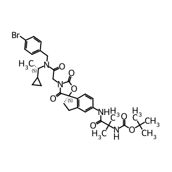 C[C@@H](C1CC1)N(Cc1ccc(Br)cc1)C(=O)CN1C(=O)O[C@]2(CCc3cc(NC(=O)C(C)(C)NC(=O)OC(C)(C)C)ccc32)C1=O